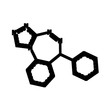 c1ccc(C2N=Nc3nncn3-c3ccccc32)cc1